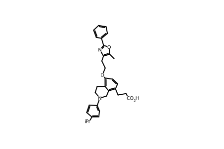 Cc1oc(-c2ccccc2)nc1CCOc1ccc(CCC(=O)O)c2c1CCN(c1ccc(C(C)C)cc1)C2